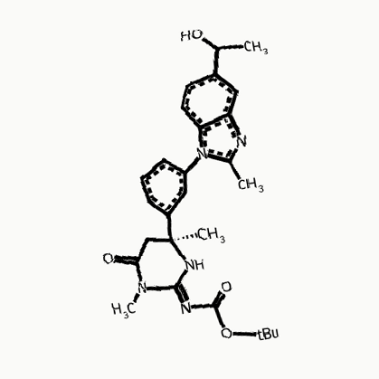 Cc1nc2cc(C(C)O)ccc2n1-c1cccc([C@]2(C)CC(=O)N(C)/C(=N/C(=O)OC(C)(C)C)N2)c1